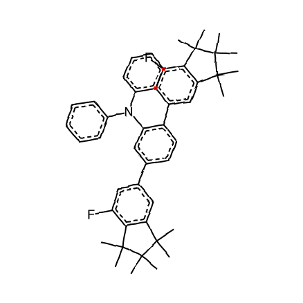 CC1(C)c2cc(-c3ccc(-c4cc(F)c5c(c4)C(C)(C)C(C)(C)C5(C)C)c(N(c4ccccc4)c4ccccc4)c3)cc(F)c2C(C)(C)C1(C)C